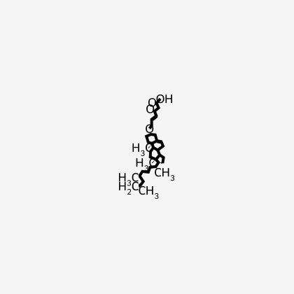 C=C(C)CC(C)CCC[C@@H](C)[C@H]1CCC2C3CC=C4C[C@@H](OC/C=C/C(=O)CC(=O)O)CC[C@]4(C)C3CC[C@@]21C